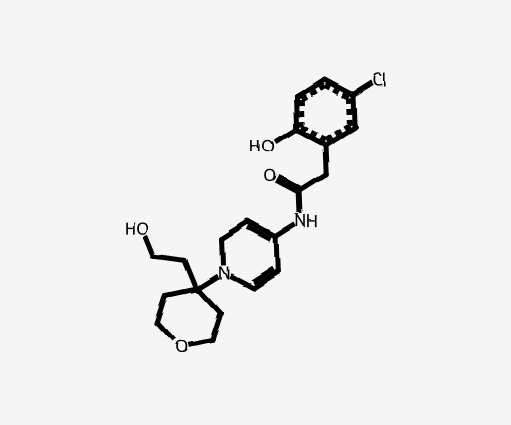 O=C(Cc1cc(Cl)ccc1O)NC1=CCN(C2(CCO)CCOCC2)C=C1